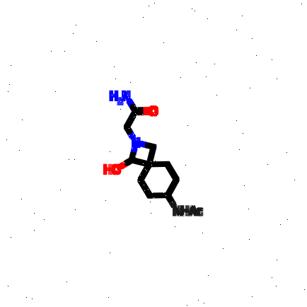 CC(=O)NC1CCC2(CC1)CN(CC(N)=O)C2O